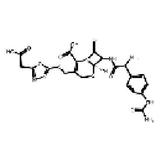 NC(=O)Nc1ccc(C(N)C(=O)NC2C(=O)N3C(C(=O)O)=C(CSc4nnc(CC(=O)O)o4)CS[C@H]23)cc1